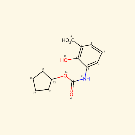 O=C(Nc1cccc(C(=O)O)c1O)OC1CCCC1